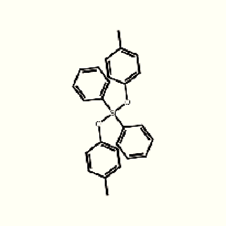 Cc1ccc(O[Si](Oc2ccc(C)cc2)(c2ccccc2)c2ccccc2)cc1